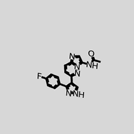 CC(=O)Nc1cnc2ccc(-c3c[nH]nc3-c3ccc(F)cc3)nn12